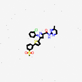 Cc1ccnc(NC(=O)c2cc(-c3ccc(-c4cccc(S(C)(=O)=O)c4)s3)n(-c3ccccc3Cl)n2)n1